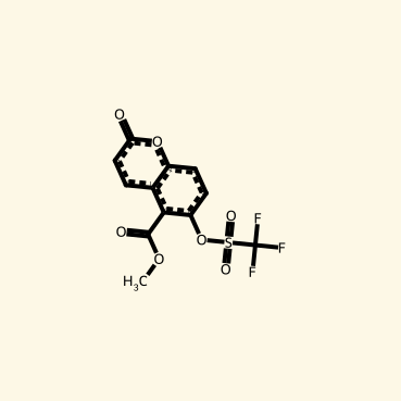 COC(=O)c1c(OS(=O)(=O)C(F)(F)F)ccc2oc(=O)ccc12